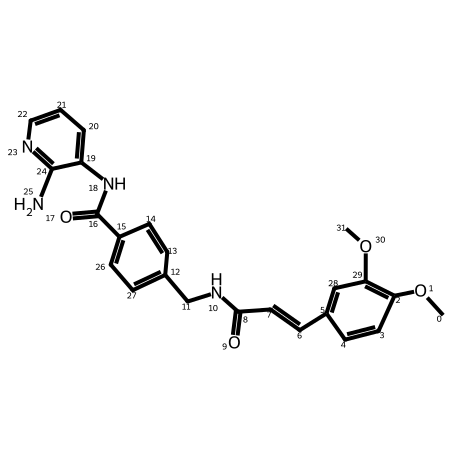 COc1ccc(/C=C/C(=O)NCc2ccc(C(=O)Nc3cccnc3N)cc2)cc1OC